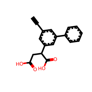 C#Cc1cc(-c2ccccc2)cc(C(CC(=O)O)C(=O)O)c1